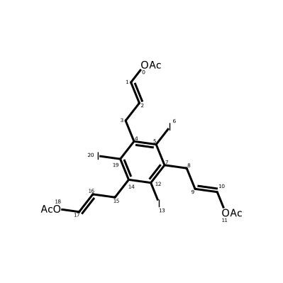 CC(=O)OC=CCc1c(I)c(CC=COC(C)=O)c(I)c(CC=COC(C)=O)c1I